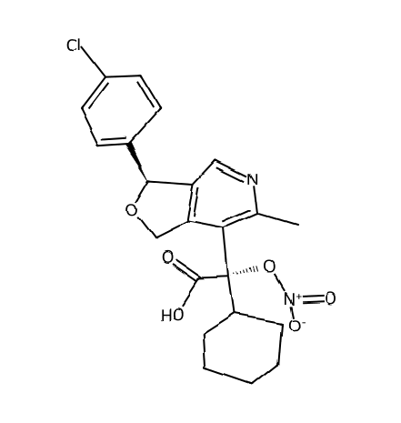 Cc1ncc2c(c1[C@](O[N+](=O)[O-])(C(=O)O)C1CCCCC1)CO[C@H]2c1ccc(Cl)cc1